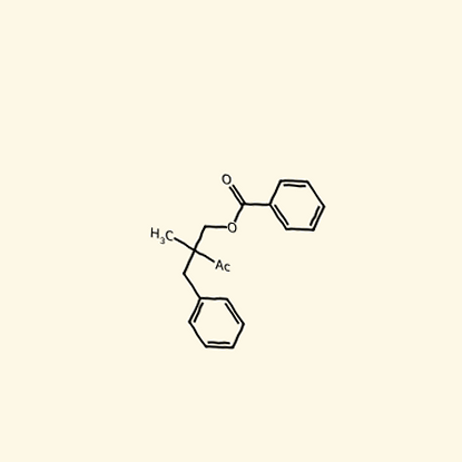 CC(=O)C(C)(COC(=O)c1ccccc1)Cc1ccccc1